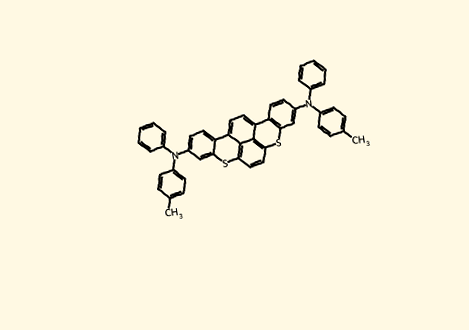 Cc1ccc(N(c2ccccc2)c2ccc3c(c2)Sc2ccc4c5c(ccc-3c25)-c2ccc(N(c3ccccc3)c3ccc(C)cc3)cc2S4)cc1